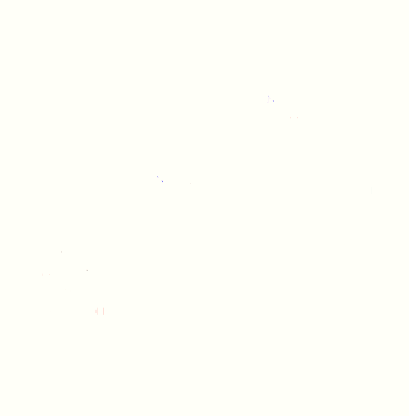 CC(C)(c1ccc(NC(=O)CCc2cnoc2-c2ccc(Cl)c(F)c2)cc1)P(=O)(O)O